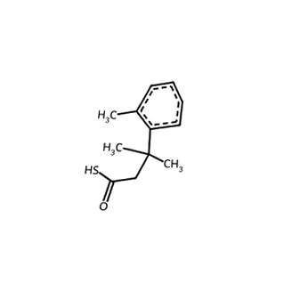 Cc1ccccc1C(C)(C)CC(=O)S